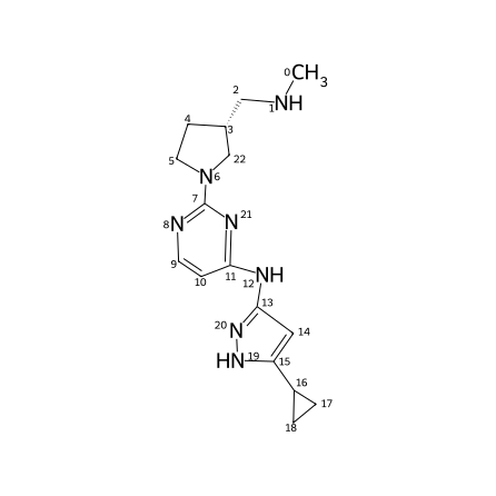 CNC[C@H]1CCN(c2nccc(Nc3cc(C4CC4)[nH]n3)n2)C1